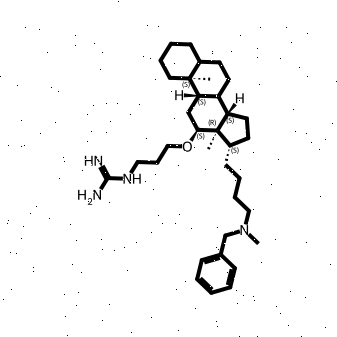 CN(CCCC[C@H]1CC[C@H]2C3CCC4CCCC[C@]4(C)[C@H]3C[C@H](OCCCNC(=N)N)[C@]12C)Cc1ccccc1